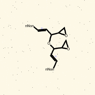 CCCCCCCCC/C=C/C(OC(/C=C/CCCCCCCCC)C1CO1)C1CO1